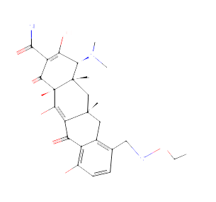 CN(C)[C@@H]1C(O)=C(C(N)=O)C(=O)[C@@]2(O)C(O)=C3C(=O)c4c(O)ccc(CNOCC(=O)O)c4C[C@H]3C[C@@H]12